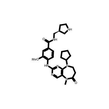 COc1cc(C(=O)NC[C@H]2CCNC2)ccc1Nc1ncc2c(n1)N(C1CCCC1)CCC(=O)N2C